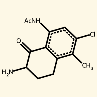 CC(=O)Nc1cc(Cl)c(C)c2c1C(=O)C(N)CC2